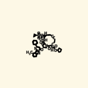 Cc1cccc2nn3c(O[C@@H]4C[C@H]5C(=O)N[C@]6(C(=O)NS(=O)(=O)C7CC7)C[C@H]6/C=C\CCCCC[C@H](NC(=O)OC6CCCC6)C(=O)N5C4)cc(-c4ccccc4)nc3c12